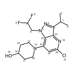 CC(C)c1nn(CC(F)F)c2c(N3CCC(O)CC3)cc(Cl)nc12